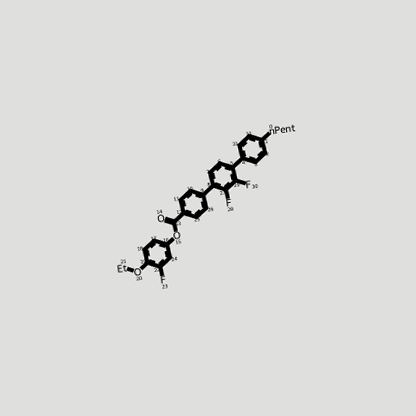 CCCCCc1ccc(-c2ccc(-c3ccc(C(=O)Oc4ccc(OCC)c(F)c4)cc3)c(F)c2F)cc1